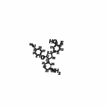 C#Cc1ccc(OC2CC(c3ccc(F)c(O)c3)CC2C2CCCC(N)C2)cc1